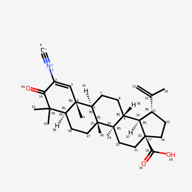 [C-]#[N+]C1=C[C@]2(C)[C@H]3CC[C@@H]4[C@H]5[C@H](C(=C)C)CC[C@]5(C(=O)O)CC[C@@]4(C)[C@]3(C)CC[C@H]2C(C)(C)C1=O